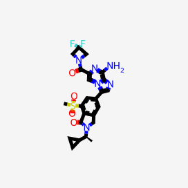 C[C@@H](C1CC1)N1Cc2cc(-c3cnc4c(N)nc(C(=O)N5CC(F)(F)C5)cn34)cc(S(C)(=O)=O)c2C1=O